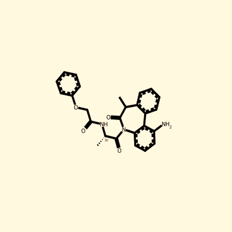 CC1C(=O)N(C(=O)[C@H](C)NC(=O)COc2ccccc2)c2cccc(N)c2-c2ccccc21